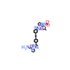 COC(=O)N[C@@H](CC(C)C)C(=O)N1CCC[C@H]1c1nc2ccc(C#Cc3ccc(-c4cnc([C@@H]5CCCN5C(=O)CN)[nH]4)cc3)cc2[nH]1